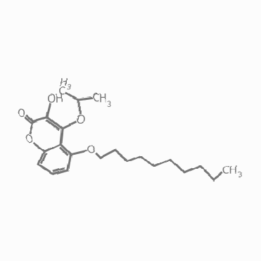 CCCCCCCCCCOc1cccc2oc(=O)c(O)c(OC(C)C)c12